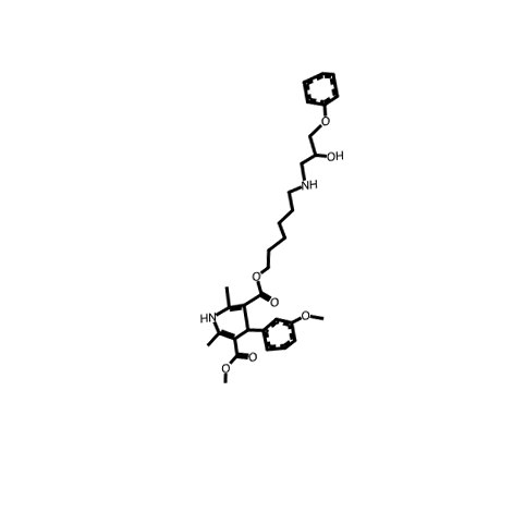 COC(=O)C1=C(C)NC(C)=C(C(=O)OCCCCCCNCC(O)COc2ccccc2)C1c1cccc(OC)c1